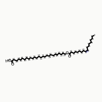 CCCCCCCC/C=C\CCCCCCCC(=O)OCCCCCCCCCCCCCCCCCCCCCCCCCCC(=O)O